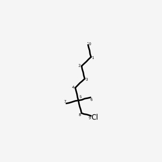 [CH2]CCCCC(C)(C)CCl